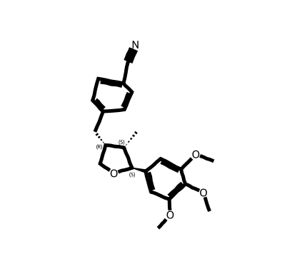 COc1cc([C@H]2OC[C@H](Cc3ccc(C#N)cc3)[C@@H]2C)cc(OC)c1OC